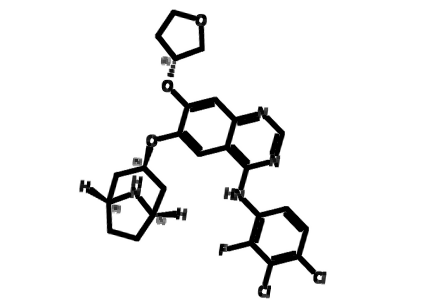 Fc1c(Nc2ncnc3cc(O[C@@H]4CCOC4)c(O[C@@H]4C[C@H]5CC[C@@H](C4)N5)cc23)ccc(Cl)c1Cl